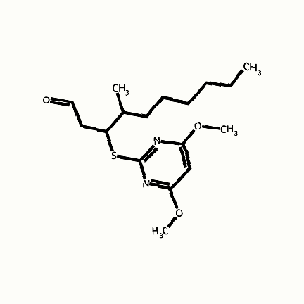 CCCCCCC(C)C(CC=O)Sc1nc(OC)cc(OC)n1